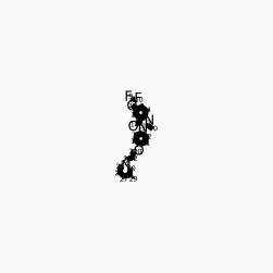 Cc1nc2ccc(OC(F)F)cc2c(=O)n1-c1ccc(OCCCN2CCC[C@H](C)C2)cc1